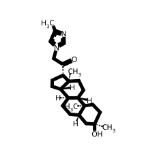 Cc1cn(CC(=O)[C@H]2CC[C@H]3[C@@H]4CC[C@@H]5C[C@](C)(O)CC[C@]5(C)[C@H]4CC[C@]23C)cn1